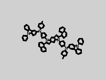 Cc1ccc(N(c2ccc(-n3c(-c4cccc5ccccc45)cc4cc5c(cc(-c6cccc7ccccc67)n5-c5ccc(N(c6ccc(C)cc6)c6ccc7c(c6)c6ccccc6n7-c6ccccc6)cc5)cc43)cc2)c2ccc3c(c2)c2ccccc2n3-c2ccccc2)cc1